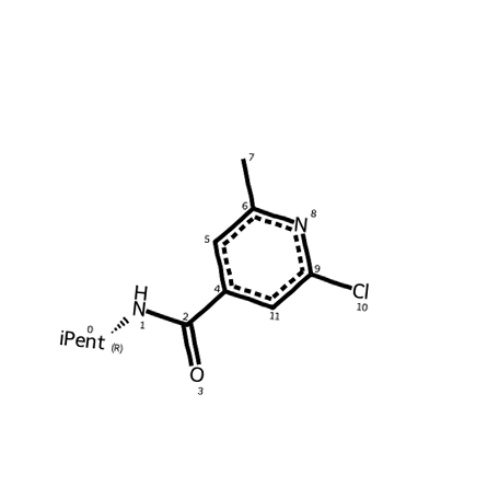 CCC[C@@H](C)NC(=O)c1cc(C)nc(Cl)c1